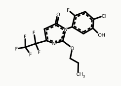 CCCOc1nc(C(F)(F)C(F)(F)F)cc(=O)n1-c1cc(O)c(Cl)cc1F